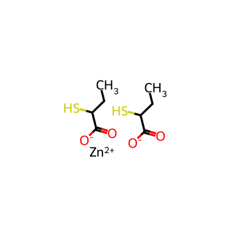 CCC(S)C(=O)[O-].CCC(S)C(=O)[O-].[Zn+2]